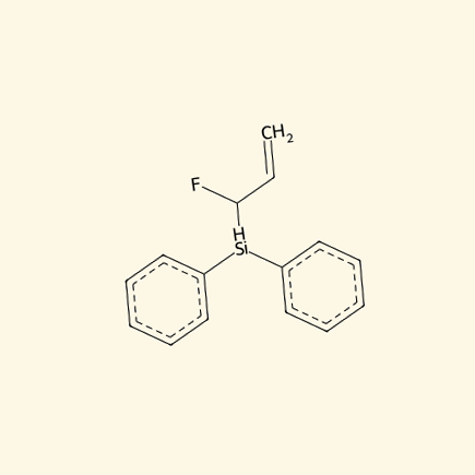 C=CC(F)[SiH](c1ccccc1)c1ccccc1